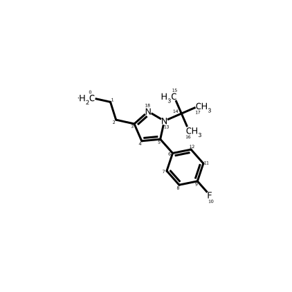 [CH2]CCc1cc(-c2ccc(F)cc2)n(C(C)(C)C)n1